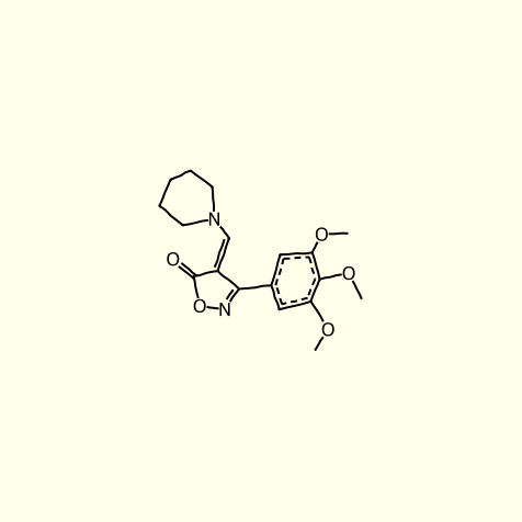 COc1cc(C2=NOC(=O)C2=CN2CCCCC2)cc(OC)c1OC